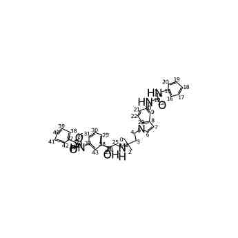 CC(C)(CCn1ccc2cc(NC(=O)Nc3ccccc3)ccc21)NC[C@H](O)c1cccc(NS(=O)(=O)c2ccccc2)c1